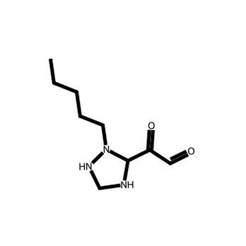 CCCCCN1NCNC1C(=O)C=O